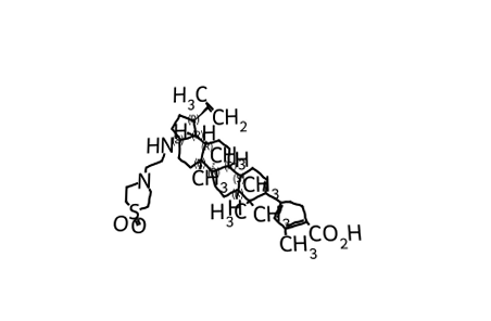 C=C(C)[C@@H]1CC[C@]2(NCCN3CCS(=O)(=O)CC3)CC[C@]3(C)[C@H](CC[C@@H]4[C@@]5(C)CC=C(C6=CC(C)=C(C(=O)O)CC6)C(C)(C)[C@@H]5CC[C@]43C)[C@@H]12